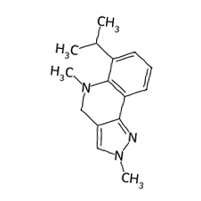 CC(C)c1cccc2c1N(C)Cc1cn(C)nc1-2